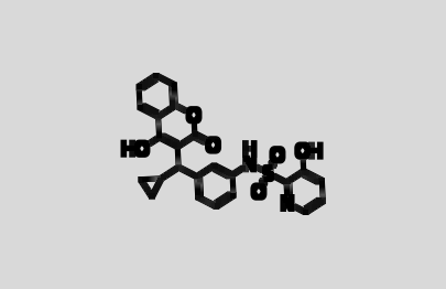 O=c1oc2ccccc2c(O)c1C(c1cccc(NS(=O)(=O)c2ncccc2O)c1)C1CC1